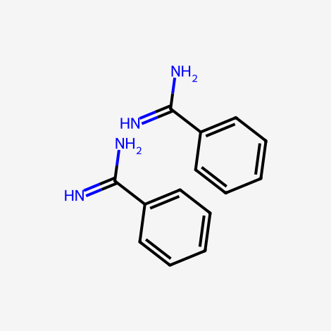 N=C(N)c1ccccc1.N=C(N)c1ccccc1